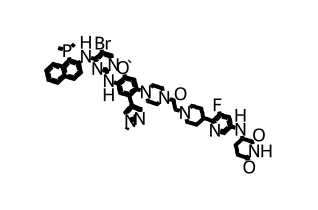 COc1cc(N2CCN(C(=O)CN3CCC(c4ncc(NC5CCC(=O)NC5=O)cc4F)CC3)CC2)c(-c2cnn(C)c2)cc1Nc1ncc(Br)c(Nc2ccc3ccccc3c2P(C)C)n1